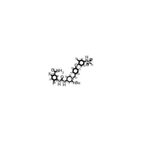 CCCCC1CC(NC(=O)Nc2cc(C(N)=O)c(F)cc2F)CCN1Cc1ccc(Oc2ccc(NS(C)(=O)=O)cc2C)cc1